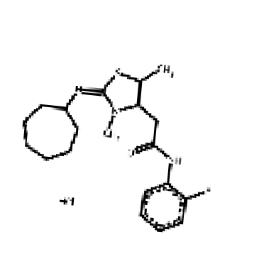 CC1SC(=NC2CCCCCC2)N(C)C1CC(=O)Nc1ccccc1F.Cl